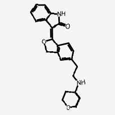 O=C1Nc2ccccc2/C1=C1\OCc2cc(CCNC3CCOCC3)ccc21